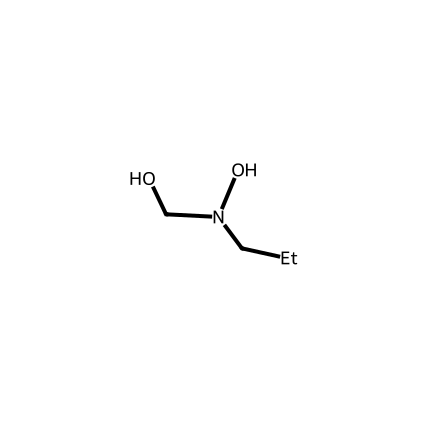 CCCN(O)CO